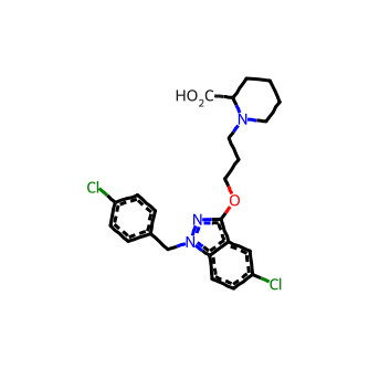 O=C(O)C1CCCCN1CCCOc1nn(Cc2ccc(Cl)cc2)c2ccc(Cl)cc12